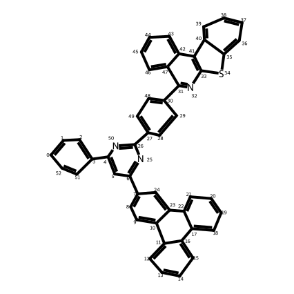 c1ccc(-c2cc(-c3ccc4c5ccccc5c5ccccc5c4c3)nc(-c3ccc(-c4nc5sc6ccccc6c5c5ccccc45)cc3)n2)cc1